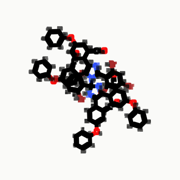 O=C=C1C=C(Oc2ccccc2)C=CC1C1=NC(c2c(Br)cc(Br)cc2Br)(n2c(-c3c(Br)cc(Br)cc3Br)nc(C3C=CC(Oc4ccccc4)=CC3=C=O)c2C2C=CC(Oc3ccccc3)=CC2=C=O)N=C1C1C=CC(Oc2ccccc2)=CC1=C=O